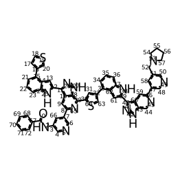 O=C(Nc1cncc(-c2cc3c(-c4cc5c(-c6ccsc6)cccc5[nH]4)n[nH]c3c(-c3cc(-c4cccc5[nH]c(-c6n[nH]c7cnc(-c8cncc(CN9CCCC9)c8)cc67)cc45)cs3)n2)c1)c1ccccc1